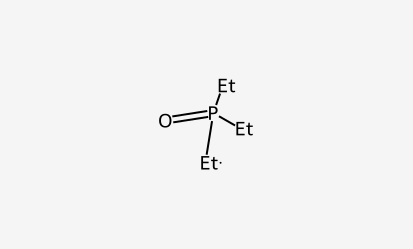 C[CH]P(=O)(CC)CC